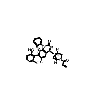 C=CC(=O)N1C[C@@H]2C[C@H]1CN2c1nc(=O)n(-c2ccccc2C(C)C)c2nc(-c3c(O)cccc3F)c(Cl)cc12